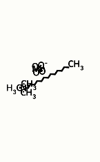 CCCCCCCCCCCCCC[N+](C)(C)C.[O]=[Mn](=[O])(=[O])[O-]